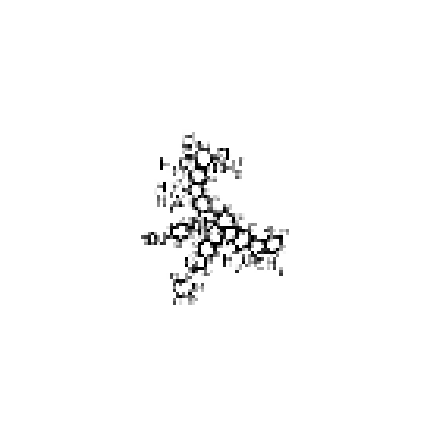 CC(C)(C)c1ccc(Nc2cc3c(cc2-c2ccc4c5cc6c(cc5n5c4c2Bc2cc4oc(-c7ccccc7)cc4cc2-5)C(C)(C)c2ccccc2-6)-c2cc4c(cc2C3(C)C)C(C)(C)CCC4(C)C)cc1